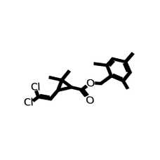 Cc1cc(C)c(COC(=O)C2C(C=C(Cl)Cl)C2(C)C)c(C)c1